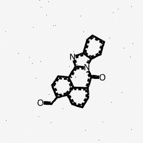 O=Cc1ccc2c3c1cccc3c(=O)n1c3ccccc3nc21